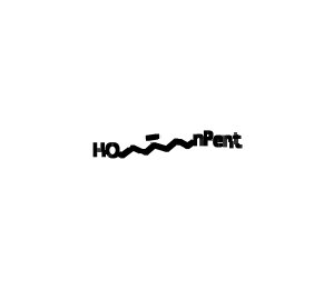 CC.CCCCCCCCCCCCO